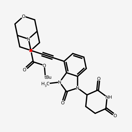 Cn1c(=O)n(C2CCC(=O)NC2=O)c2cccc(C#CCN3C4COCC3CN(C(=O)OC(C)(C)C)C4)c21